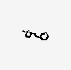 Cn1ccc(C=Cc2cccnc2)n1